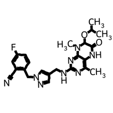 Cc1nc(NCc2cnn(Cc3ccc(F)cc3C#N)c2)nc2c1NC(=O)C(OC(C)C)N2C